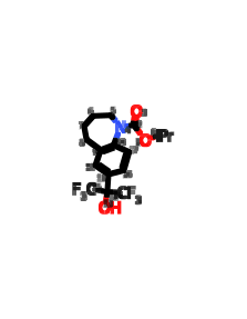 CC(C)OC(=O)N1CCCCc2cc(C(O)(C(F)(F)F)C(F)(F)F)ccc21